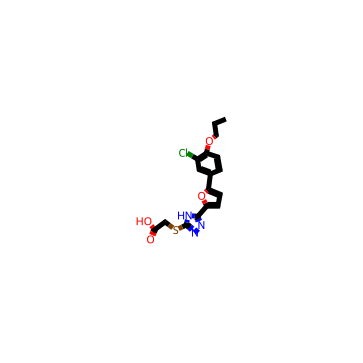 CCCOc1ccc(-c2ccc(-c3nnc(SCC(=O)O)[nH]3)o2)cc1Cl